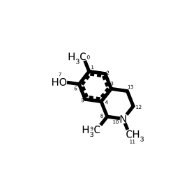 Cc1cc2c(cc1O)C(C)N(C)CC2